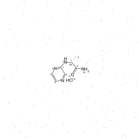 C[C@@H](Nc1cnccn1)C(N)=O.Cl